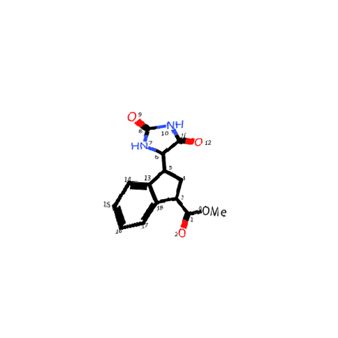 COC(=O)C1CC(C2NC(=O)NC2=O)c2ccccc21